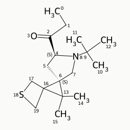 CCC(=O)[C@@H]1C[C@]2(CN1C(C)(C)C)C(C)(C)C21CSC1